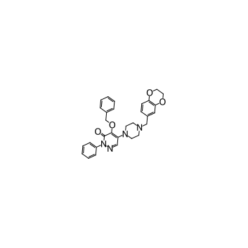 O=c1c(OCc2ccccc2)c(N2CCN(Cc3ccc4c(c3)OCCO4)CC2)cnn1-c1ccccc1